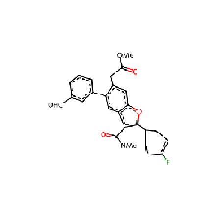 CNC(=O)c1c(C2C=CC(F)=CC2)oc2cc(CC(=O)OC)c(-c3cccc(C=O)c3)cc12